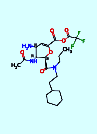 CCCN(CCC1CCCCC1)C(=O)[C@@H]1OC(C(=O)OC(=O)C(F)(F)F)=C[C@H](N)[C@H]1NC(C)=O